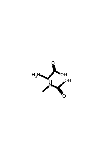 CNC(=O)O.NCC(=O)O